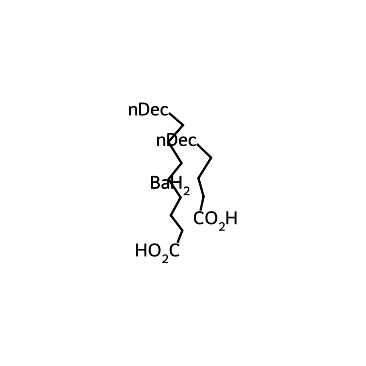 CCCCCCCCCCCCCC(=O)O.CCCCCCCCCCCCCCCCCC(=O)O.[BaH2]